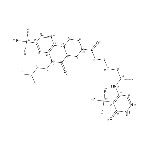 CC(C)CCN1C(=O)C2CN(C(=O)CCOC[C@H](C)Nc3cn[nH]c(=O)c3C(F)(F)F)CCN2c2ncc(C(F)(F)F)cc21